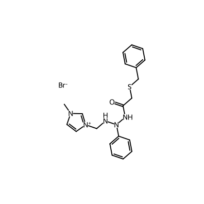 Cn1cc[n+](CNN(NC(=O)CSCc2ccccc2)c2ccccc2)c1.[Br-]